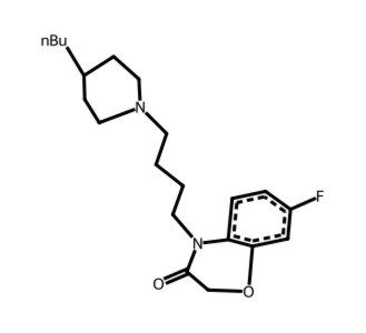 CCCCC1CCN(CCCCN2C(=O)COc3cc(F)ccc32)CC1